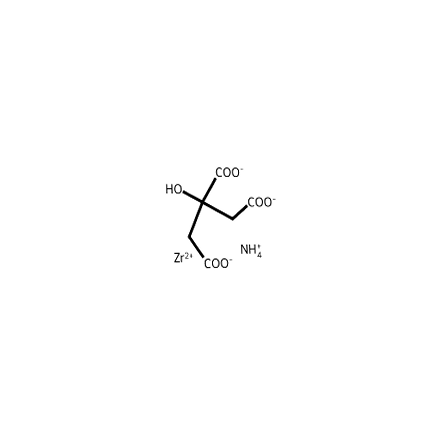 O=C([O-])CC(O)(CC(=O)[O-])C(=O)[O-].[NH4+].[Zr+2]